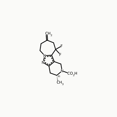 C=C1CCn2nc3c(c2C(F)(F)C1)CN(C(=O)O)[C@H](C)C3